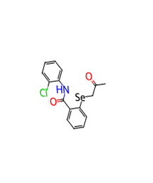 CC(=O)C[Se]c1ccccc1C(=O)Nc1ccccc1Cl